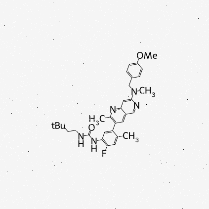 COc1ccc(CN(C)c2cc3nc(C)c(-c4cc(NC(=O)NCCC(C)(C)C)c(F)cc4C)cc3cn2)cc1